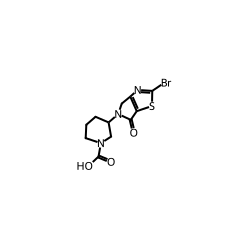 O=C(O)N1CCCC(N2Cc3nc(Br)sc3C2=O)C1